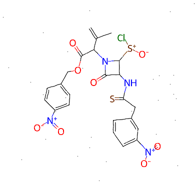 C=C(C)C(C(=O)OCc1ccc([N+](=O)[O-])cc1)N1C(=O)C(NC(=S)Cc2cccc([N+](=O)[O-])c2)C1[S+]([O-])Cl